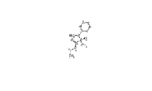 C=C(c1ccccc1)C(C)(Cl)C(=O)OCC